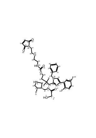 C[C@H](O)C(=O)N(C[C@@H]1CNC[C@@H]1F)[C@@H](c1nc(-c2cc(F)ccc2F)cn1Cc1ccccc1)C(C)(C)CCOC(=O)NCCOCCN1C(=O)C=CC1=O